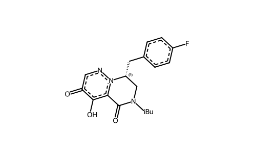 CCC(C)N1C[C@@H](Cc2ccc(F)cc2)n2ncc(=O)c(O)c2C1=O